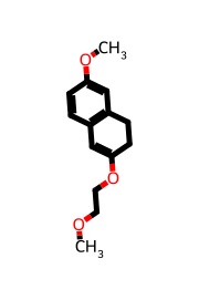 COCCOC1=Cc2ccc(OC)cc2CC1